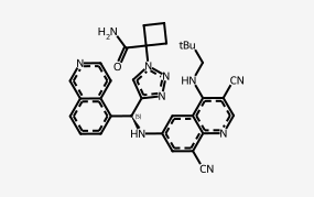 CC(C)(C)CNc1c(C#N)cnc2c(C#N)cc(N[C@H](c3cn(C4(C(N)=O)CCC4)nn3)c3cccc4cnccc34)cc12